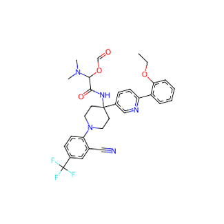 CCOc1ccccc1-c1ccc(C2(NC(=O)C(OC=O)N(C)C)CCN(c3ccc(C(F)(F)F)cc3C#N)CC2)cn1